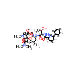 CC(C)C[C@H](NC(=O)[C@@H](NC(=O)c1cccc(-c2ccccc2)n1)[C@@H](C)O)B1OC(=O)C[C@@](CC(=O)N(C)C)(C(=O)N(C)C)O1